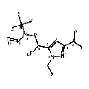 CCn1nc(C(C)C)cc1C(F)CN(C=O)C(C)(C)C